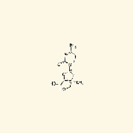 C[C@@]1(CO)C[C@H](n2ccc(N)nc2=O)O[C@@H]1CO